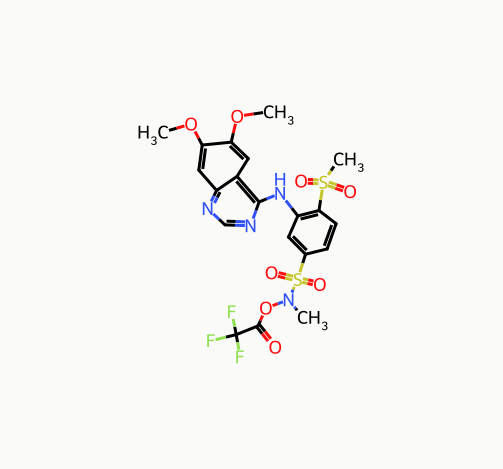 COc1cc2ncnc(Nc3cc(S(=O)(=O)N(C)OC(=O)C(F)(F)F)ccc3S(C)(=O)=O)c2cc1OC